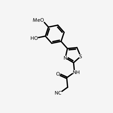 COc1ccc(-c2csc(NC(=O)CC#N)n2)cc1O